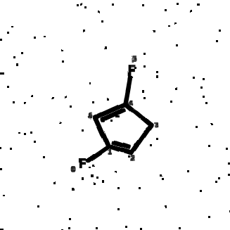 FC1=CCC(F)=C1